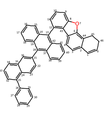 C1=Cc2ccc3c(oc4cccc(-c5c6ccccc6c(-c6ccc7c(-c8ccccc8)cccc7c6)c6ccccc56)c43)c2CC1